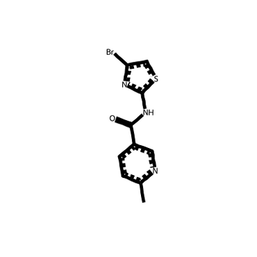 Cc1ccc(C(=O)Nc2nc(Br)cs2)cn1